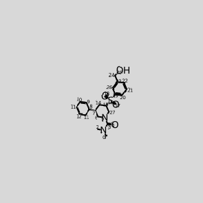 CN(C)C(=O)N1C[C@@H](C2C=CC=CC2)C[C@@H](S(=O)(=O)c2cccc(CO)c2)C1